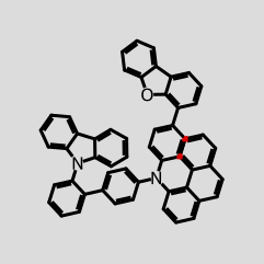 c1ccc(-n2c3ccccc3c3ccccc32)c(-c2ccc(N(c3ccc(-c4cccc5c4oc4ccccc45)cc3)c3cccc4ccc5ccccc5c34)cc2)c1